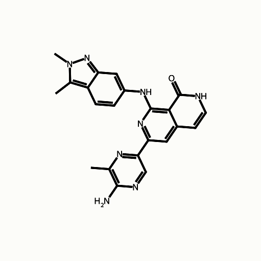 Cc1nc(-c2cc3cc[nH]c(=O)c3c(Nc3ccc4c(C)n(C)nc4c3)n2)cnc1N